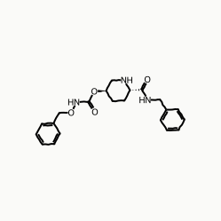 O=C(NOCc1ccccc1)O[C@@H]1CC[C@@H](C(=O)NCc2ccccc2)NC1